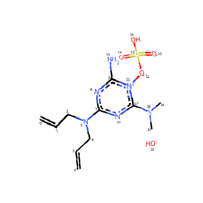 C=CCN(CC=C)c1nc(N)[n+](OS(=O)(=O)O)c(N(C)C)n1.[OH-]